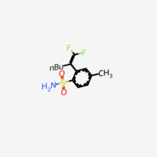 CCCCC(=C(F)F)c1cc(C)ccc1S(N)(=O)=O